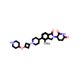 COc1c(C2CCN([C@H]3C[C@H](OC4CCNCC4)C3)CC2)ccc2c1CN(C1CCC(=O)NC1=O)C2=O